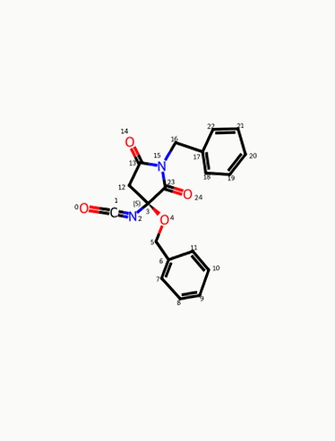 O=C=N[C@]1(OCc2ccccc2)CC(=O)N(Cc2ccccc2)C1=O